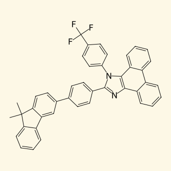 CC1(C)c2ccccc2-c2cc(-c3ccc(-c4nc5c6ccccc6c6ccccc6c5n4-c4ccc(C(F)(F)F)cc4)cc3)ccc21